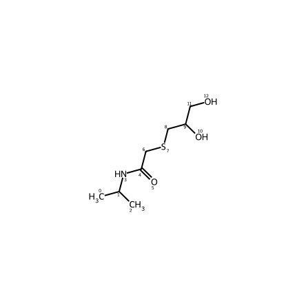 CC(C)NC(=O)CSCC(O)CO